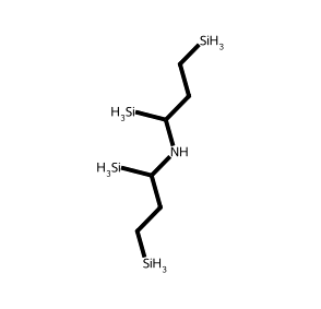 [SiH3]CCC([SiH3])NC([SiH3])CC[SiH3]